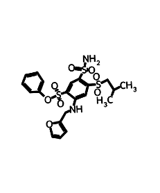 CC(C)CS(=O)(=O)c1cc(NCc2ccco2)c(S(=O)(=O)Oc2ccccc2)cc1S(N)(=O)=O